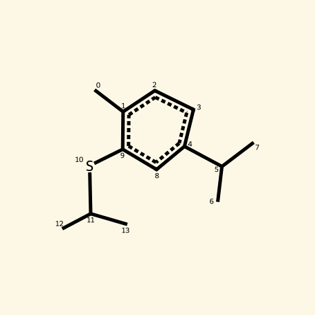 Cc1ccc(C(C)C)cc1SC(C)C